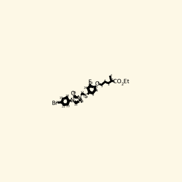 CCOC(=O)C(C)CCCOc1ccc(SCn2ncn(-c3ccc(Br)cc3)c2=O)cc1F